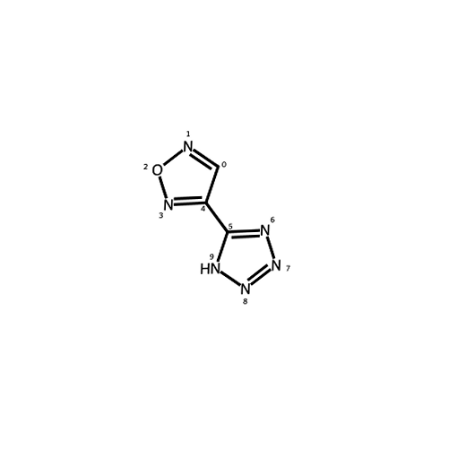 c1nonc1-c1nnn[nH]1